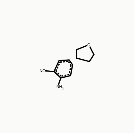 C1CCOC1.N#Cc1ccccc1N